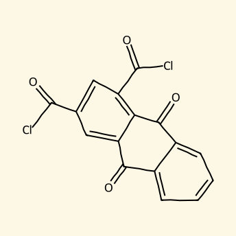 O=C(Cl)c1cc(C(=O)Cl)c2c(c1)C(=O)c1ccccc1C2=O